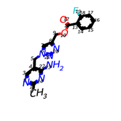 Cc1ncc(Cn2cc(COC(=O)c3ccccc3F)nn2)c(N)n1